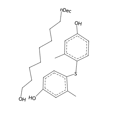 CCCCCCCCCCCCCCCCCCO.Cc1cc(O)ccc1Sc1ccc(O)cc1C